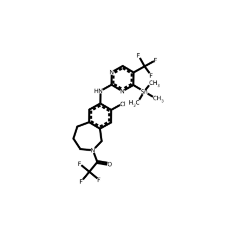 [CH3][Sn]([CH3])([CH3])[c]1nc(Nc2cc3c(cc2Cl)CN(C(=O)C(F)(F)F)CCC3)ncc1C(F)(F)F